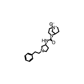 O=C(NC1CCN(CCc2ccccc2)C1)N1CC[N@@+]2([O-])CCC1C2